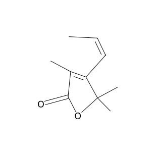 C/C=C\C1=C(C)C(=O)OC1(C)C